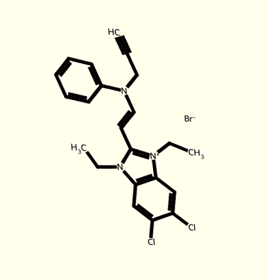 C#CCN(C=Cc1n(CC)c2cc(Cl)c(Cl)cc2[n+]1CC)c1ccccc1.[Br-]